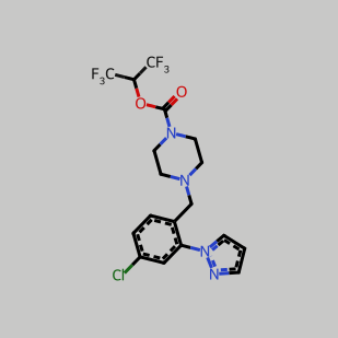 O=C(OC(C(F)(F)F)C(F)(F)F)N1CCN(Cc2ccc(Cl)cc2-n2cccn2)CC1